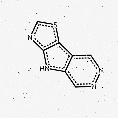 c1nc2[nH]c3cnncc3c2s1